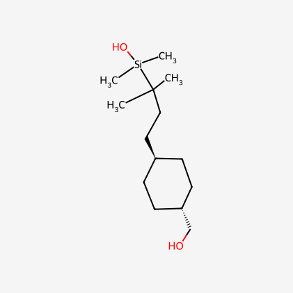 CC(C)(CC[C@H]1CC[C@H](CO)CC1)[Si](C)(C)O